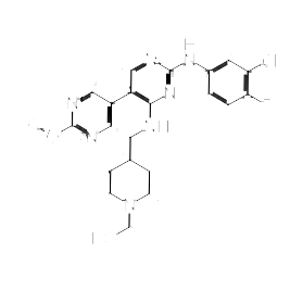 CCN1CCC(CNc2nc(Nc3ccc(F)c(Cl)c3)ncc2-c2cnc(OC)nc2)CC1